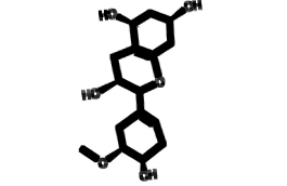 CO[C@H]1CC(C2OC3=C(C[C@@H]2O)[C@@H](O)C[C@@H](O)C3)=CC[C@H]1O